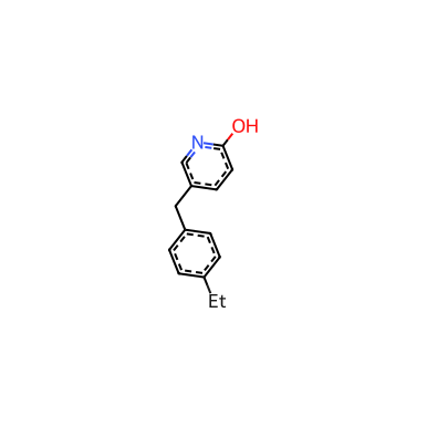 CCc1ccc(Cc2ccc(O)nc2)cc1